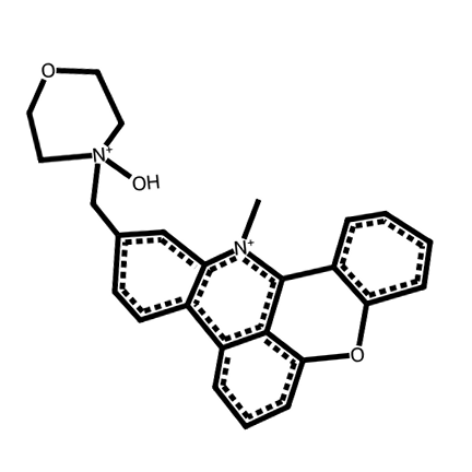 C[n+]1c2c3c(cccc3c3ccc(C[N+]4(O)CCOCC4)cc31)Oc1ccccc1-2